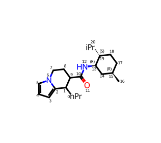 CCCC1c2cccn2CCC1C(=O)N[C@@H]1C[C@H](C)CC[C@H]1C(C)C